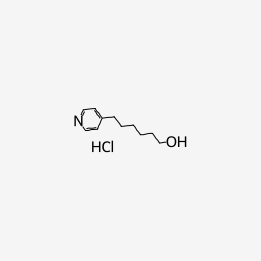 Cl.OCCCCCCc1ccncc1